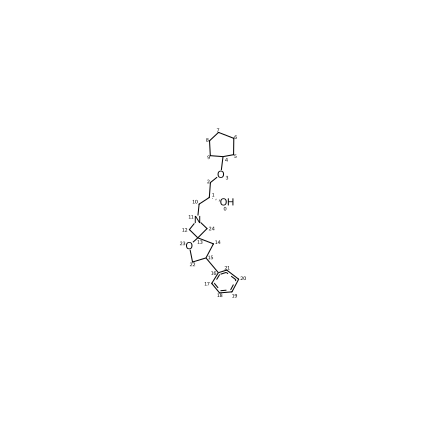 O[C@@H](COC1CCCCC1)CN1CC2(CC(c3ccccc3)CO2)C1